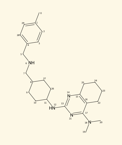 Cc1ccc(CNCC2CCC(Nc3nc4c(c(N(C)C)n3)CCCC4)CC2)cc1